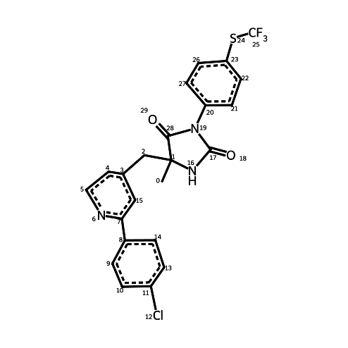 CC1(Cc2ccnc(-c3ccc(Cl)cc3)c2)NC(=O)N(c2ccc(SC(F)(F)F)cc2)C1=O